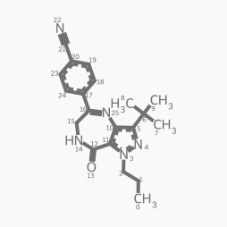 CCCn1nc(C(C)(C)C)c2c1C(=O)NCC(c1ccc(C#N)cc1)=N2